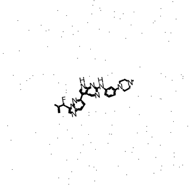 C=C(C)C(F)c1cnc2ccc(-c3c[nH]c4nc(Nc5cccc(N6CCN(C)CC6)c5)ncc34)nn12